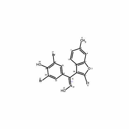 CCc1oc2cc(C)ccc2c1/C(=N/O)c1cc(Br)c(O)c(Br)c1